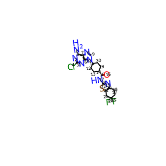 Nc1nc(Cl)nc2c1ncn2[C@H]1CC[C@@H](C(=O)Nc2nc3c(s2)CC(F)(F)CC3)CC1